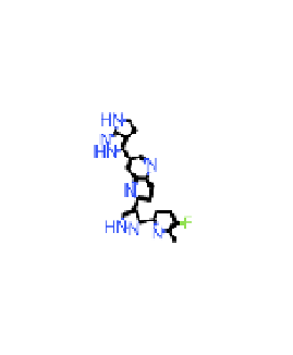 Cc1nc(-c2n[nH]cc2-c2ccc3ncc(-c4[nH]nc5c4CCN5)cc3n2)ccc1F